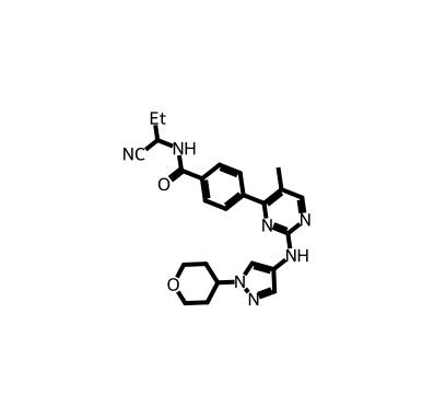 CCC(C#N)NC(=O)c1ccc(-c2nc(Nc3cnn(C4CCOCC4)c3)ncc2C)cc1